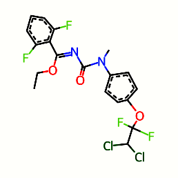 CCOC(=NC(=O)N(C)c1ccc(OC(F)(F)C(Cl)Cl)cc1)c1c(F)cccc1F